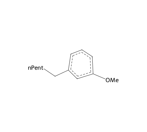 [CH2]CCCCCc1cccc(OC)c1